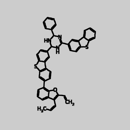 C=Cc1oc2c(-c3ccc4c(c3)sc3ccc(C5NC(c6ccc7sc8ccccc8c7c6)=NC(c6ccccc6)N5)cc34)cccc2c1/C=C\C